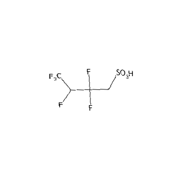 O=S(=O)(O)CC(F)(F)C(F)C(F)(F)F